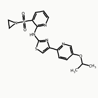 CC(C)Oc1ccc(-c2csc(Nc3ncccc3S(=O)(=O)N3CC3)n2)nc1